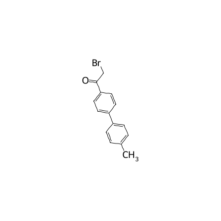 Cc1ccc(-c2ccc(C(=O)CBr)cc2)cc1